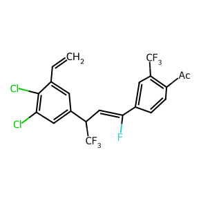 C=Cc1cc(C(/C=C(\F)c2ccc(C(C)=O)c(C(F)(F)F)c2)C(F)(F)F)cc(Cl)c1Cl